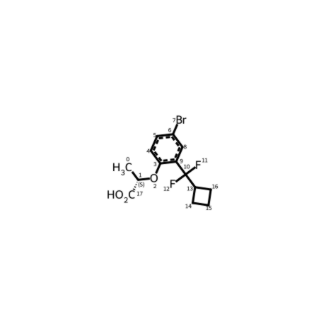 C[C@H](Oc1ccc(Br)cc1C(F)(F)C1CCC1)C(=O)O